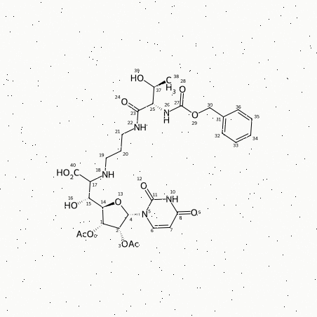 CC(=O)O[C@H]1[C@@H](OC(C)=O)[C@@H](n2ccc(=O)[nH]c2=O)O[C@@H]1[C@H](O)C(NCCCNC(=O)[C@@H](NC(=O)OCc1ccccc1)[C@H](C)O)C(=O)O